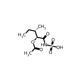 CC[C@H](C)[C@H](OC(C)=O)C(=O)NS(=O)(=O)O